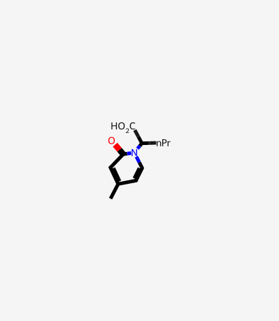 CCCC(C(=O)O)n1ccc(C)cc1=O